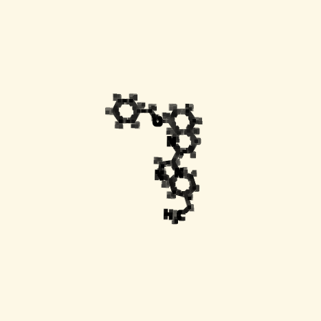 CCc1ccn2c(-c3ccc4cccc(OCc5ccccc5)c4n3)cnc2c1